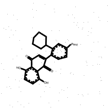 CCCC(C)c1ccc(C2=CC(=O)c3c(O)ccc(O)c3C2=O)c(C2CCCCC2)c1